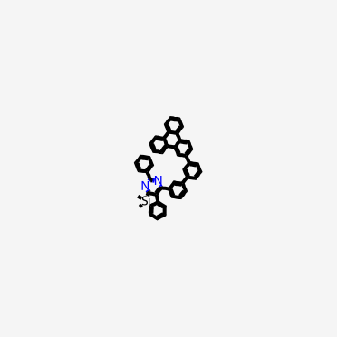 C[Si]1(C)c2ccccc2-c2c(-c3cccc(-c4cccc(-c5ccc6c7ccccc7c7ccccc7c6c5)c4)c3)nc(-c3ccccc3)nc21